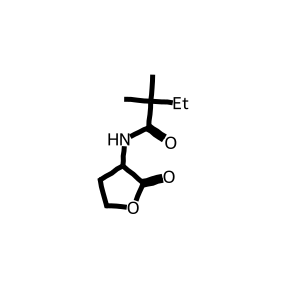 CCC(C)(C)C(=O)NC1CCOC1=O